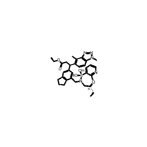 CCOC(=O)CC(c1cc2c(c(CN3C[C@@H](CC)Oc4ncccc4S3(O)O)c1)CCC2)c1ccc2c(nnn2C)c1C